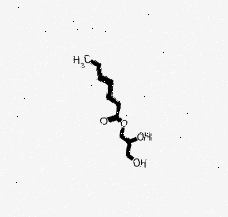 CCC=CCCC(=O)OCC(O)CO